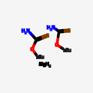 CCCCOC(N)=S.CCCCOC(N)=S.[MgH2]